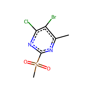 Cc1nc(S(C)(=O)=O)nc(Cl)c1Br